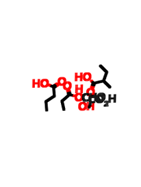 CC(=O)O.CCC(=O)O.CCC(C)C(=O)O.CCCC(=O)O.O=CO